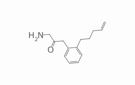 C=CCCCc1ccccc1CC(=O)CN